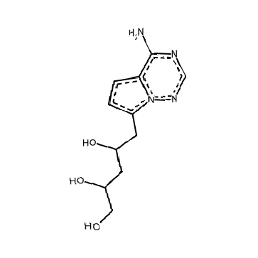 Nc1ncnn2c(CC(O)CC(O)CO)ccc12